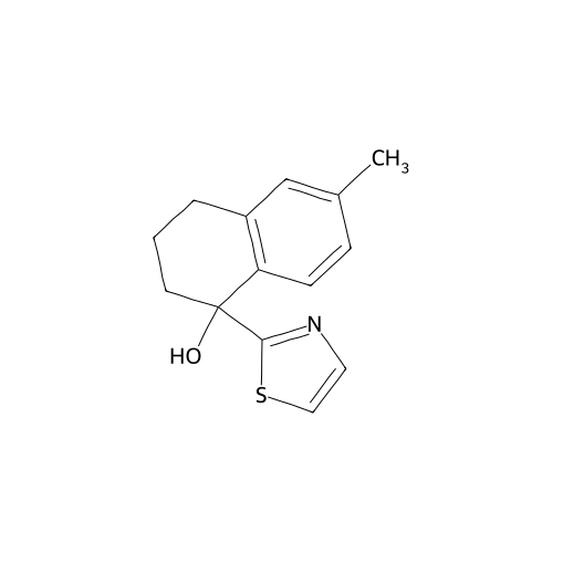 Cc1ccc2c(c1)CCCC2(O)c1nccs1